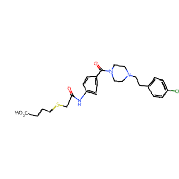 O=C(O)CCCSCC(=O)Nc1ccc(C(=O)N2CCN(CCc3ccc(Cl)cc3)CC2)cc1